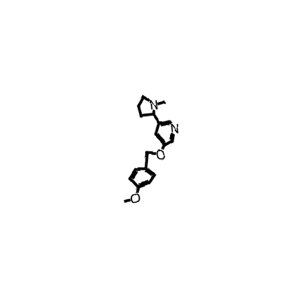 COc1ccc(COc2cncc(C3CCCN3C)c2)cc1